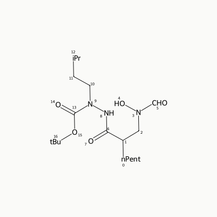 CCCCCC(CN(O)C=O)C(=O)NN(CCC(C)C)C(=O)OC(C)(C)C